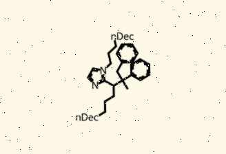 CCCCCCCCCCCCCC(c1nccn1CCCCCCCCCCCCC)C(C)(Cc1ccccc1)c1ccccc1